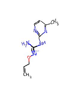 C=CCO/N=C(\N)Nc1nccc(C)n1